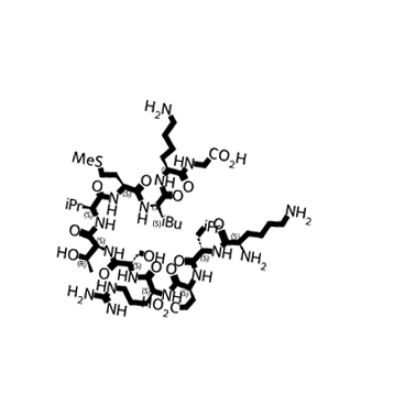 CC[C@H](C)[C@H](NC(=O)[C@H](CCSC)NC(=O)[C@@H](NC(=O)[C@@H](NC(=O)[C@H](CO)NC(=O)[C@H](CCCNC(=N)N)NC(=O)[C@H](CCC(=O)O)NC(=O)[C@H](CC(C)C)NC(=O)[C@@H](N)CCCCN)[C@@H](C)O)C(C)C)C(=O)N[C@@H](CCCCN)C(=O)NCC(=O)O